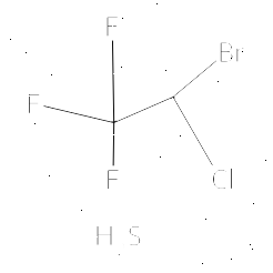 FC(F)(F)C(Cl)Br.S